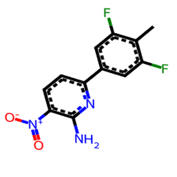 Cc1c(F)cc(-c2ccc([N+](=O)[O-])c(N)n2)cc1F